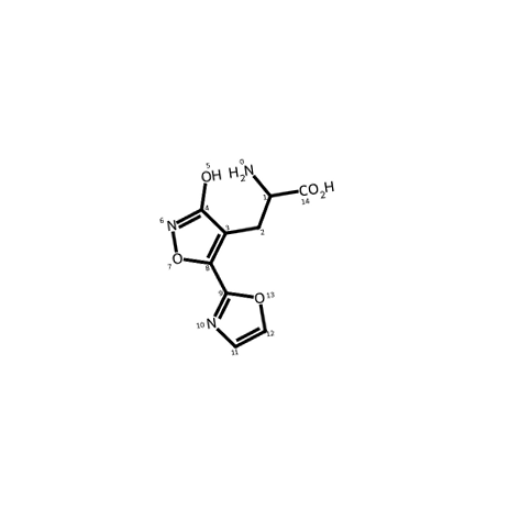 NC(Cc1c(O)noc1-c1ncco1)C(=O)O